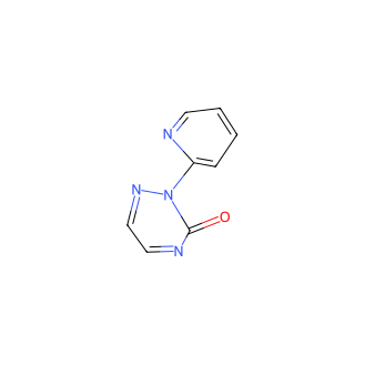 O=c1nccnn1-c1ccccn1